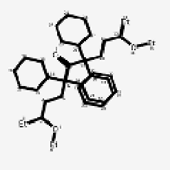 CCOC(CC)CCC(C(=O)C(CCC(CC)OCC)(C1CCCCC1)C1CCCCC1)(C1CCCCC1)C1CCCCC1